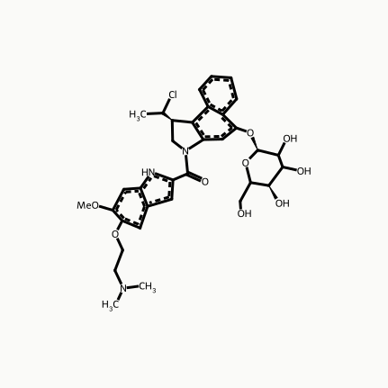 COc1cc2[nH]c(C(=O)N3C[C@@H](C(C)Cl)c4c3cc(O[C@@H]3OC(CO)[C@H](O)C(O)C3O)c3ccccc43)cc2cc1OCCN(C)C